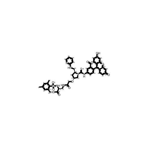 Cc1cc(C)c(S(=O)(=O)N[C@@H](CNC(=O)CO[C@@H]2C[C@@H](CNc3ccccn3)N(C(=S)Nc3ccc(-c4c5ccc(=O)cc-5oc5cc(O)ccc45)c(C(=O)O)c3)C2)C(=O)O)c(C)c1